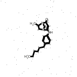 CCCCCCc1ccc(Nc2cc(=O)n3c(=O)n2CC3C)cc1